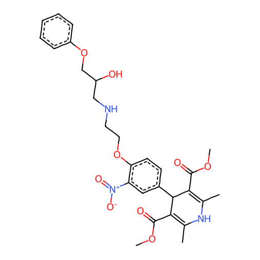 COC(=O)C1=C(C)NC(C)=C(C(=O)OC)C1c1ccc(OCCNCC(O)COc2ccccc2)c([N+](=O)[O-])c1